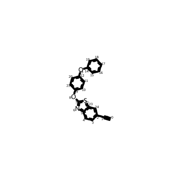 C#Cc1ccc2nc(Oc3ccc(Oc4ccccc4)cc3)sc2c1